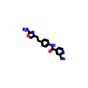 CC(C)(C)c1cc(C(=O)Nc2ccc(CCC3COC(N)=N3)cc2)ccn1